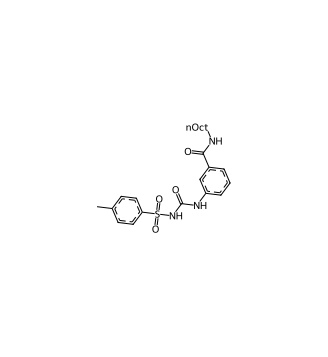 CCCCCCCCNC(=O)c1cccc(NC(=O)NS(=O)(=O)c2ccc(C)cc2)c1